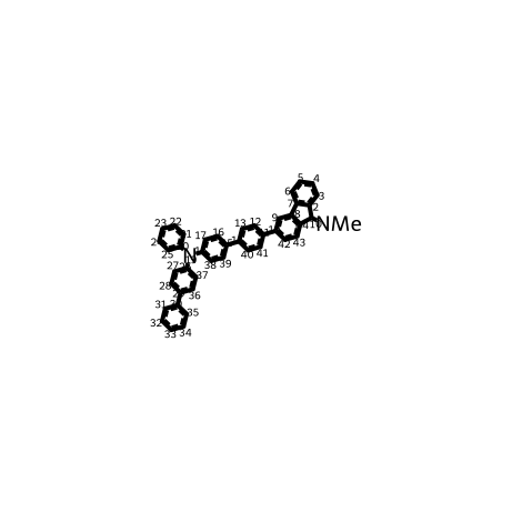 CNC1c2ccccc2-c2cc(-c3ccc(-c4ccc(N(c5ccccc5)c5ccc(-c6ccccc6)cc5)cc4)cc3)ccc21